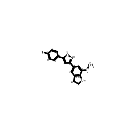 COc1cc(-c2cc(-c3ccc(F)cc3)on2)cc2c1OCC2